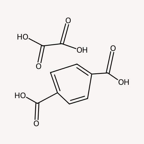 O=C(O)C(=O)O.O=C(O)c1ccc(C(=O)O)cc1